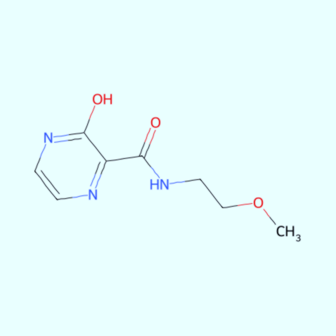 COCCNC(=O)c1nccnc1O